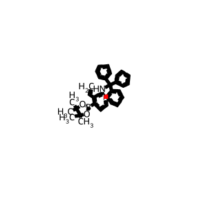 C=Cc1c(B2OC(C)(C)C(C)(C)O2)ccnc1NC(c1ccccc1)(c1ccccc1)c1ccccc1